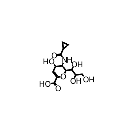 O=C(O)C1=CC(O)[C@@H](NC(=O)C2CC2)C(C(O)C(O)CO)O1